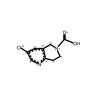 O=C(O)N1CCc2ncc(Cl)cc2C1